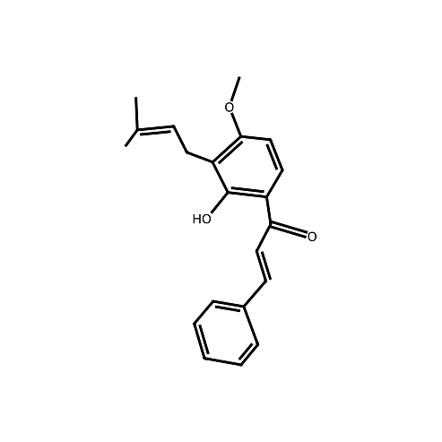 COc1ccc(C(=O)/C=C/c2ccccc2)c(O)c1CC=C(C)C